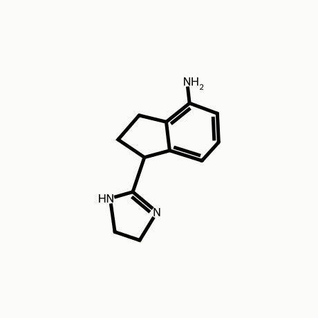 Nc1cccc2c1CCC2C1=NCCN1